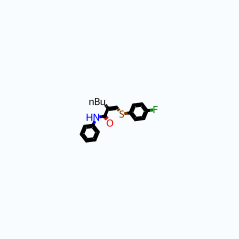 CCCCC(=CSc1ccc(F)cc1)C(=O)Nc1ccccc1